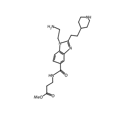 COC(=O)CCNC(=O)c1ccc2c(c1)nc(CCC1CCNCC1)n2CCN